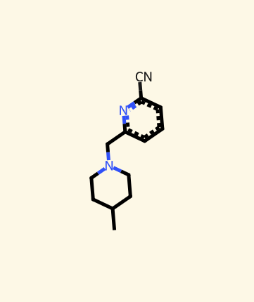 CC1CCN(Cc2cccc(C#N)n2)CC1